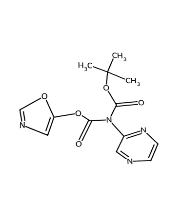 CC(C)(C)OC(=O)N(C(=O)Oc1cnco1)c1cnccn1